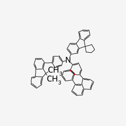 CC1(C)c2ccccc2-c2cccc(-c3ccc(N(c4ccc(-c5cccc6cccc(-c7ccccc7)c56)cc4)c4ccc5c(c4)C4(CCCC4)c4ccccc4-5)cc3)c21